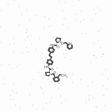 CCc1ccccc1C(=O)N1CCC[C@H]1C(=O)Nc1ccc(/C=C/c2ccc(NC(=O)[C@@H]3CCCN3OCc3ccccn3)cc2)cc1